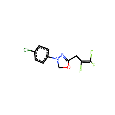 FC(F)=C(F)CC1=NN(c2ccc(Cl)cc2)CO1